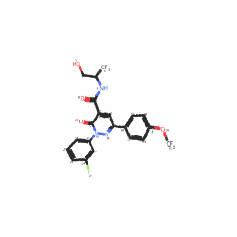 O=C(NC(CO)C(F)(F)F)c1cc(-c2ccc(OC(F)(F)F)cc2)nn(-c2cccc(F)c2)c1=O